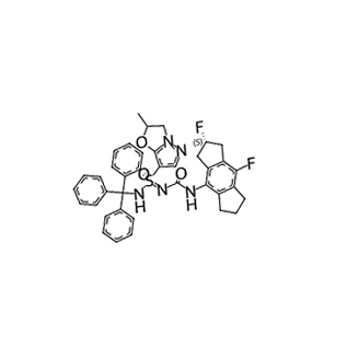 CC1Cn2ncc(S(=O)(=NC(=O)Nc3c4c(c(F)c5c3C[C@H](F)C5)CCC4)NC(c3ccccc3)(c3ccccc3)c3ccccc3)c2O1